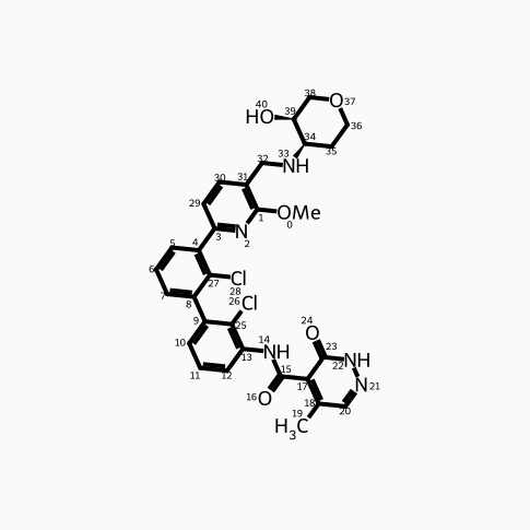 COc1nc(-c2cccc(-c3cccc(NC(=O)c4c(C)cn[nH]c4=O)c3Cl)c2Cl)ccc1CN[C@@H]1CCOC[C@@H]1O